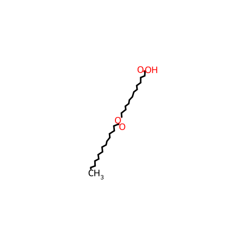 CCCCCCCCCCCCCCC(=O)OCCCCCCCCCCCCCC(=O)O